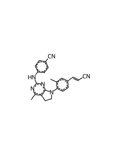 Cc1cc(/C=C/C#N)ccc1N1CCc2c(C)nc(Nc3ccc(C#N)cc3)nc21